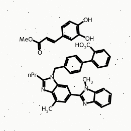 CCCc1nc2c(C)cc(-c3nc4ccccc4n3C)cc2n1Cc1ccc(-c2ccccc2C(=O)O)cc1.COC(=O)C=Cc1ccc(O)c(O)c1